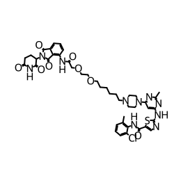 Cc1nc(Nc2ncc(C(=O)Nc3c(C)cccc3Cl)s2)cc(N2CCN(CCCCCCOCCOCC(=O)Nc3cccc4c3C(=O)N(C3CCC(=O)NC3=O)C4=O)CC2)n1